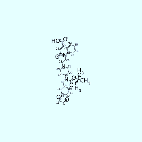 CC(C)(C)OC(=O)N(Cc1ccc2c(c1)OCCO2)C1CCN(CCn2c(=O)cc(C(=O)O)c3ccccc32)CC1